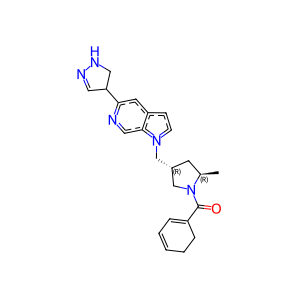 C[C@@H]1C[C@@H](Cn2ccc3cc(C4C=NNC4)ncc32)CN1C(=O)C1=CC=CCC1